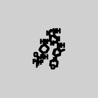 Cc1cc(N2CCOCC2)ccc1Nc1nc(NC2CCC(NC(=O)C(F)(F)F)CC2)c2nc[nH]c2n1